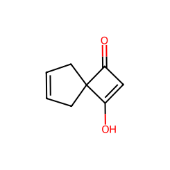 O=C1C=C(O)C12CC=CC2